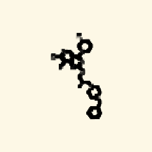 C[C@@H](COc1nc(N2CCC[C@@H](F)C2)c2cnc(Cl)c(F)c2n1)CN1CCN(Cc2ccccc2)CC1